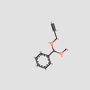 C#CCOC(OC)c1ccccc1